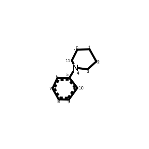 [CH]1CCCN(c2ccccc2)C1